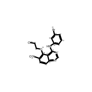 O=[N+]([O-])c1ccc2ncnc(Nc3cccc(Br)c3)c2c1OCCCl